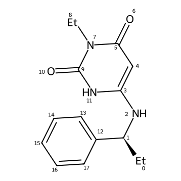 CC[C@H](Nc1cc(=O)n(CC)c(=O)[nH]1)c1ccccc1